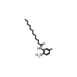 CCCCCCCCCCCC(=O)Nc1cc(C)ccc1N